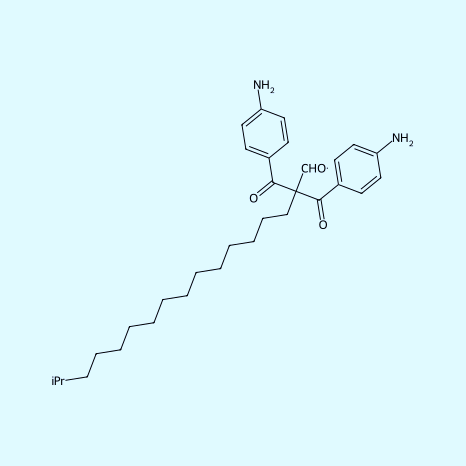 CC(C)CCCCCCCCCCCCCC([C]=O)(C(=O)c1ccc(N)cc1)C(=O)c1ccc(N)cc1